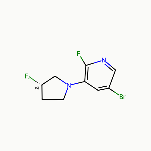 Fc1ncc(Br)cc1N1CC[C@H](F)C1